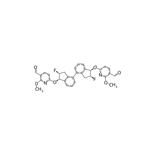 COc1nc(O[C@@H]2c3cccc(-c4cccc5c4C[C@H](F)[C@@H]5Oc4ccc(C=O)c(OC)n4)c3C[C@@H]2F)ccc1C=O